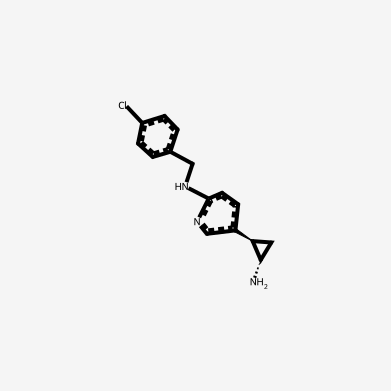 N[C@H]1C[C@@H]1c1ccc(NCc2ccc(Cl)cc2)nc1